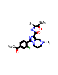 CNC(=O)C(NC(=O)c1nc(-c2ccc(C(=O)OC)cc2F)n2c1CN(C)CCC2)C(C)(C)C